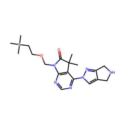 CC1(C)C(=O)N(COCC[Si](C)(C)C)c2ncnc(-n3cc4c(n3)CNC4)c21